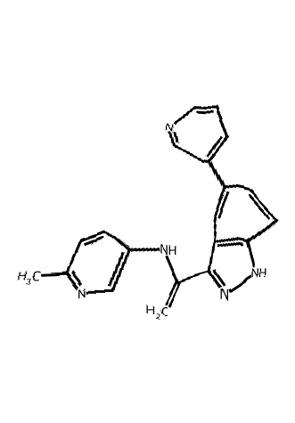 C=C(Nc1ccc(C)nc1)c1n[nH]c2ccc(-c3cccnc3)cc12